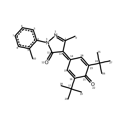 CC1=NN(c2ccccc2C)C(=O)C1=C1C=C(C(C)(C)C)C(=O)C(C(C)(C)C)=C1